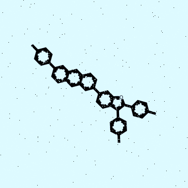 Cc1ccc(-c2ccc3cc4cc(-c5ccc6c(-c7ccc(C)cc7)c(-c7ccc(C)cc7)oc6c5)ccc4cc3c2)cc1